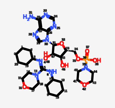 C1CCC(N=C(NC2CCCCC2)N2CCOCC2)CC1.Nc1ncnc2c1ncn2[C@@H]1O[C@H](COP(=O)(O)N2CCOCC2)[C@@H](O)[C@H]1O